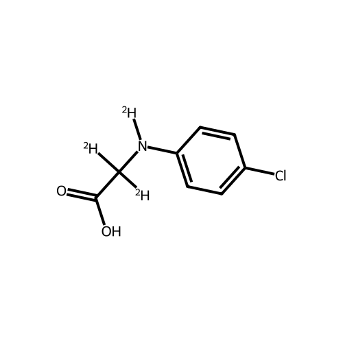 [2H]N(c1ccc(Cl)cc1)C([2H])([2H])C(=O)O